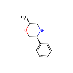 C[C@H]1CN[C@@H](c2ccccc2)CO1